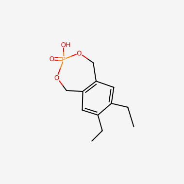 CCc1cc2c(cc1CC)COP(=O)(O)OC2